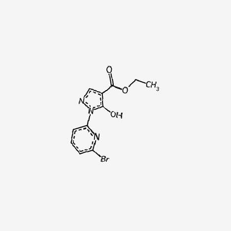 CCOC(=O)c1cnn(-c2cccc(Br)n2)c1O